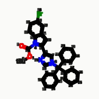 CC(C)(C)OC(=O)n1c(-c2cn(C(c3ccccc3)(c3ccccc3)c3ccccc3)cn2)cc2cc(Br)ccc21